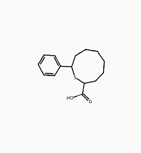 O=C(O)C1CCCCCCC(c2ccccc2)S1